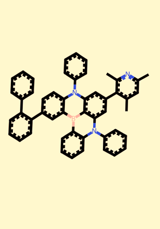 Cc1cc(C)c(-c2cc3c4c(c2)N(c2ccccc2)c2ccc(-c5ccccc5-c5ccccc5)cc2B4c2ccccc2N3c2ccccc2)c(C)n1